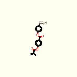 C=C(C)C(=O)Oc1ccc(C(=O)Oc2ccc(C(=O)O)cc2)cc1